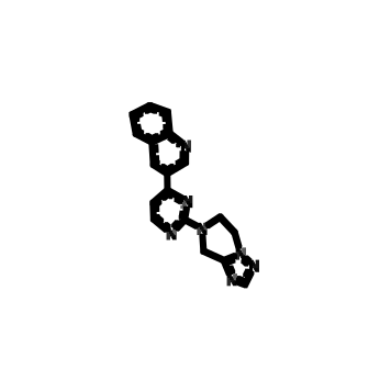 c1ccc2ncc(-c3ccnc(N4CCn5ncnc5C4)n3)cc2c1